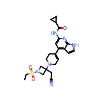 CCS(=O)(=O)N1CC(CC#N)(N2CC=C(c3cc(NC(=O)C4CC4)nc4[nH]ccc34)CC2)C1